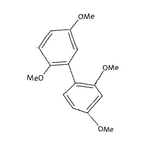 COc1ccc(-c2cc(OC)c[c]c2OC)c(OC)c1